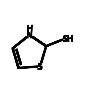 SC1NC=CS1